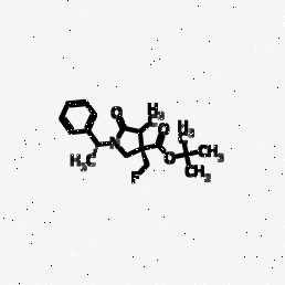 CC1C(=O)N([C@H](C)c2ccccc2)C[C@@]1(CF)C(=O)OC(C)(C)C